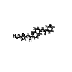 Cc1ccc(CNc2ccc3cc(CNc4cccnc4)ccc3n2)o1